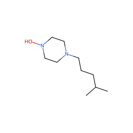 CC(C)CCCN1CCN(O)CC1